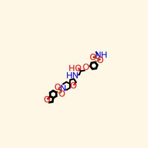 CNS(=O)(=O)c1cccc(OCC(O)CNC2COC3(CCN(S(=O)(=O)c4ccc5occc5c4)CC3)C2)c1